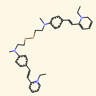 CCN1CC=CC=C1/C=C/c1ccc(N(C)CCSSCCN(C)c2ccc(/C=C/c3cccc[n+]3CC)cc2)cc1